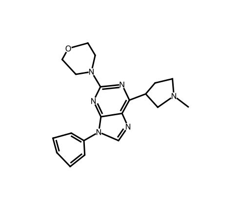 CN1CCC(c2nc(N3CCOCC3)nc3c2ncn3-c2ccccc2)C1